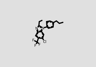 CCCc1ccc(-n2c(CC)nc3cc(C(F)(F)F)c(Cl)cc32)cc1